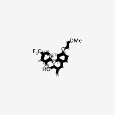 COCCOc1ccc(CC(C)CO)c(Oc2ncc(C(F)(F)F)cc2Cl)c1